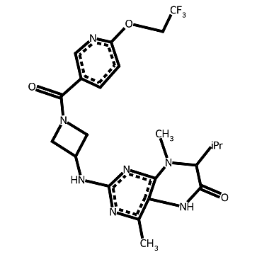 Cc1nc(NC2CN(C(=O)c3ccc(OCC(F)(F)F)nc3)C2)nc2c1NC(=O)C(C(C)C)N2C